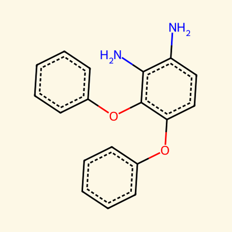 Nc1ccc(Oc2ccccc2)c(Oc2ccccc2)c1N